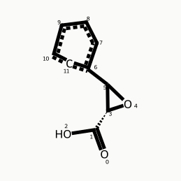 O=C(O)[C@H]1OC1c1ccccc1